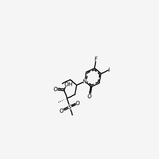 CCC(C[C@](C)(C(=O)O)S(C)(=O)=O)n1cc(F)c(I)cc1=O